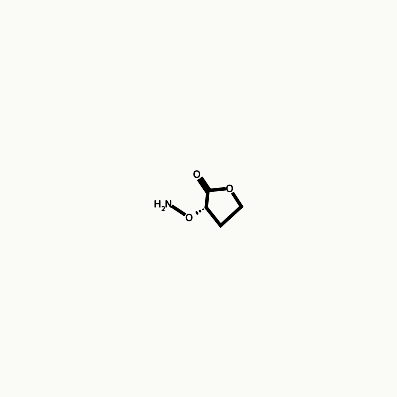 NO[C@H]1CCOC1=O